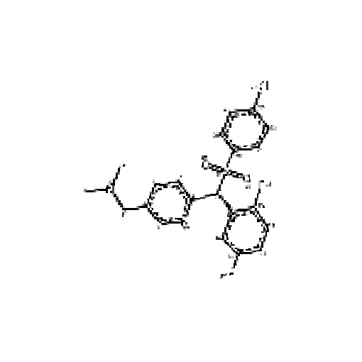 CN(C)Cc1ccc(C(c2cc(F)ccc2F)S(=O)(=O)c2ccc(Cl)cc2)nc1